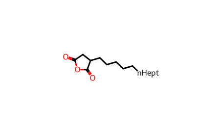 CCCCCCCCCCCCC1CC(=O)OC1=O